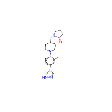 Cc1cc(-c2cn[nH]c2)ccc1N1CCC(CN2CCCC2=O)CC1